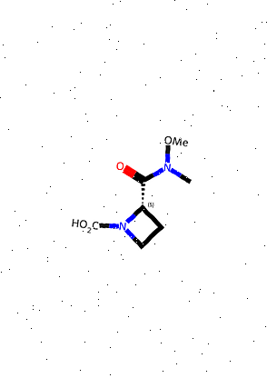 CON(C)C(=O)[C@@H]1CCN1C(=O)O